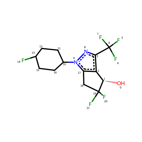 O[C@H]1c2c(C(F)(F)F)nn(C3CCC(F)CC3)c2CC1(F)F